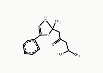 CC(C)CC(=O)CC1(C)NN=C(c2ccccc2)S1